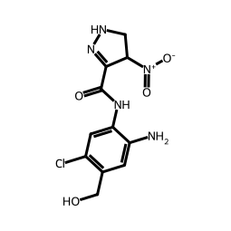 Nc1cc(CO)c(Cl)cc1NC(=O)C1=NNCC1[N+](=O)[O-]